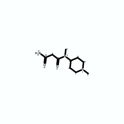 CN1CCC(N(C)C(=O)[CH]C(N)=O)CC1